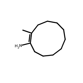 C/C1=C(\N)CCCCCCCCC1